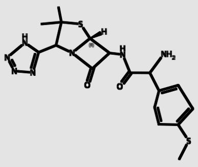 CSc1ccc(C(N)C(=O)NC2C(=O)N3C(c4nnn[nH]4)C(C)(C)S[C@H]23)cc1